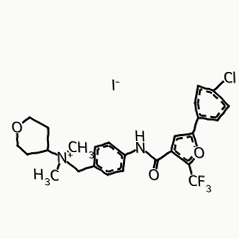 C[N+](C)(Cc1ccc(NC(=O)c2cc(-c3ccc(Cl)cc3)oc2C(F)(F)F)cc1)C1CCOCC1.[I-]